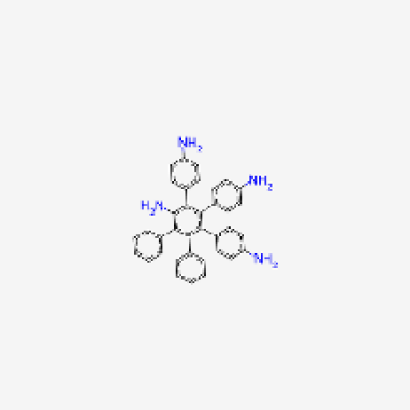 Nc1ccc(-c2c(N)c(-c3ccccc3)c(-c3ccccc3)c(-c3ccc(N)cc3)c2-c2ccc(N)cc2)cc1